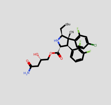 CC(C)(C)C[C@@H]1N[C@@H](C(=O)OC[C@@H](O)CC(N)=O)[C@H](c2cccc(F)c2F)[C@@]1(C#N)c1ccc(Cl)cc1F